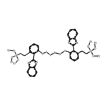 CCO[Si](CCc1cccc(SSSSSSc2cccc(CC[Si](OCC)(OCC)OCC)c2-c2nc3ccccc3s2)c1-c1nc2ccccc2s1)(OCC)OCC